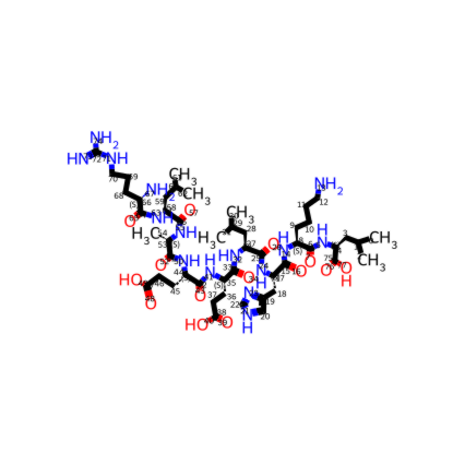 CC(C)C[C@H](NC(=O)[C@H](CCCCN)NC(=O)[C@H](Cc1c[nH]cn1)NC(=O)[C@H](CC(C)C)NC(=O)[C@H](CCC(=O)O)NC(=O)[C@H](CCC(=O)O)NC(=O)[C@H](C)NC(=O)[C@H](CC(C)C)NC(=O)[C@@H](N)CCCNC(=N)N)C(=O)O